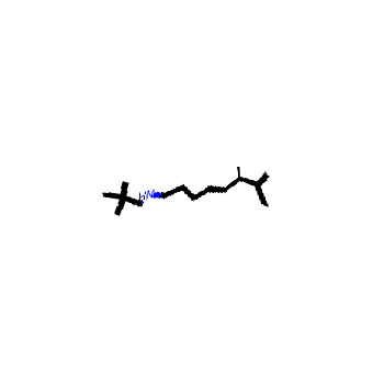 CC(C)[C@H](C)CCCCCNCC(C)(C)C